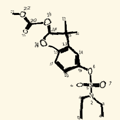 CCN(CC)S(=O)(=O)Oc1ccc2c(c1)C(C)(C)C(OC(=O)OC)O2